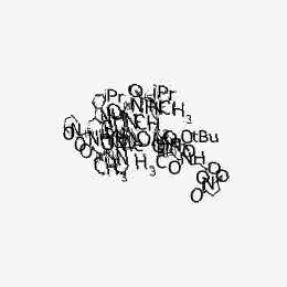 CC[C@H](C)[C@@H]([C@@H](CC(=O)N1CCC[C@H]1[C@H](OC)[C@@H](C)C(=O)N[C@@H](Cc1c[nH]c2ccccc12)C(=O)N1CCCCO1)OC)N(C)C(=O)[C@@H](NC(=O)[C@H](C(C)C)N(C)CCCC(=O)O[C@H](C)[C@H](NC(=O)OC(C)(C)C)C(=O)NCCC(=O)ON1C(=O)CCC1=O)C(C)C